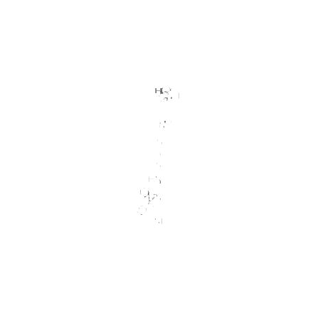 NCCCCC(NC(=O)CCC(=O)NCCCOCCOCCOCCCNC(=O)CCCCC1SC[C@@H]2NC(=O)N[C@H]12)P(=O)(Oc1ccccc1)Oc1ccccc1